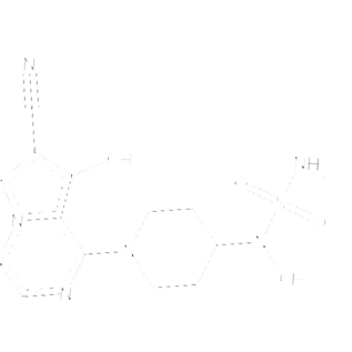 Cc1c(C#N)cn2ncnc(N3CCC(N(C)S(N)(=O)=O)CC3)c12